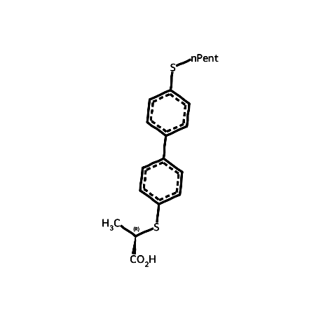 CCCCCSc1ccc(-c2ccc(S[C@H](C)C(=O)O)cc2)cc1